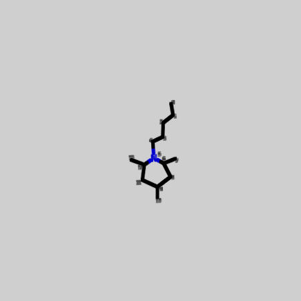 CCCCCN1C(C)CC(C)CC1C